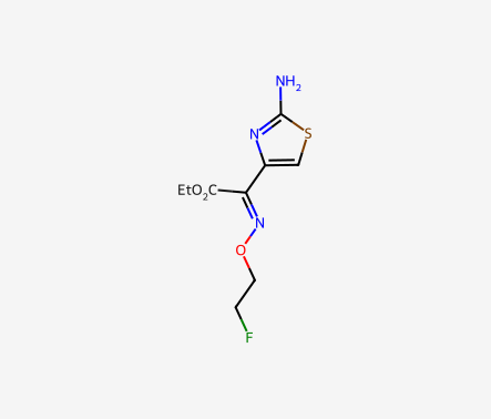 CCOC(=O)/C(=N\OCCF)c1csc(N)n1